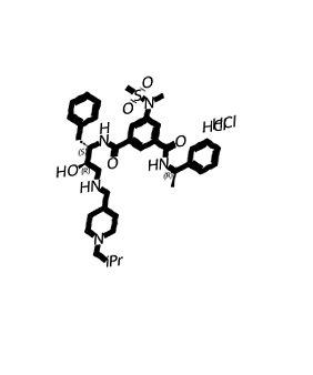 CC(C)CN1CCC(CNC[C@@H](O)[C@H](Cc2ccccc2)NC(=O)c2cc(C(=O)N[C@H](C)c3ccccc3)cc(N(C)S(C)(=O)=O)c2)CC1.Cl.Cl